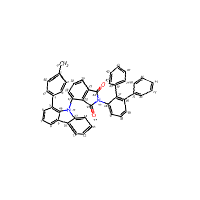 Cc1ccc(-c2cccc3c4ccccc4n(-c4cccc5c4C(=O)N(c4cccc(-c6ccccc6)c4-c4ccccc4)C5=O)c23)cc1